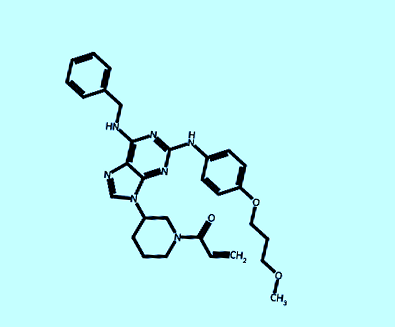 C=CC(=O)N1CCCC(n2cnc3c(NCc4ccccc4)nc(Nc4ccc(OCCCOC)cc4)nc32)C1